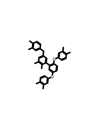 Cc1ccc(Cc2cc(C)c(C)c(-c3cc(Oc4ccc(C)c(C)c4)ccc3Oc3ccc(C)c(C)c3)c2)cc1C